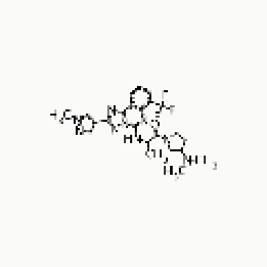 C[C@@H](Nc1nc2c(C(F)(F)F)cccc2c2nc(-c3cnn(C)c3)nn12)C(=O)N1CCC(N(C)C)C1